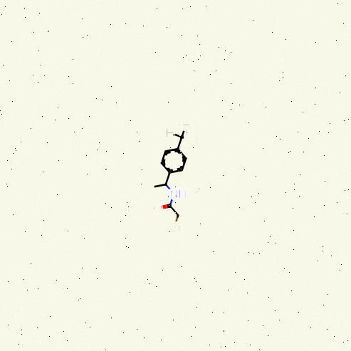 [2H]C([2H])([2H])c1ccc(C(C)NC(=O)CBr)cc1